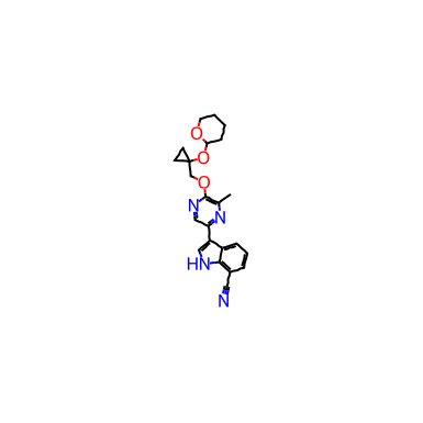 Cc1nc(-c2c[nH]c3c(C#N)cccc23)cnc1OCC1(OC2CCCCO2)CC1